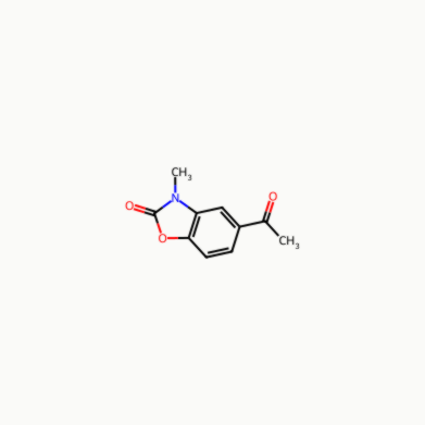 CC(=O)c1ccc2oc(=O)n(C)c2c1